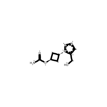 NC(=O)O[C@H]1C[C@H](n2nncc2CO)C1